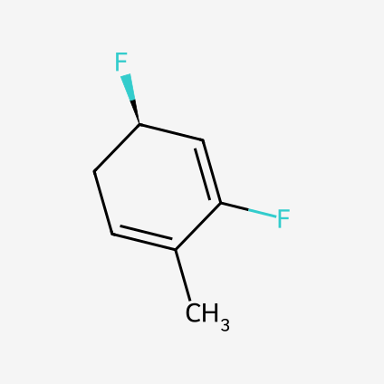 CC1=CC[C@@H](F)C=C1F